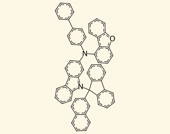 c1ccc(-c2ccc(N(c3ccc4c5ccccc5n(C5(c6ccc7ccccc7c6)c6ccccc6-c6ccccc65)c4c3)c3cccc4oc5ccccc5c34)cc2)cc1